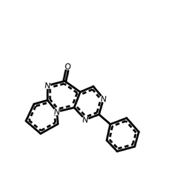 O=c1nc2ccccn2c2nc(-c3ccccc3)ncc12